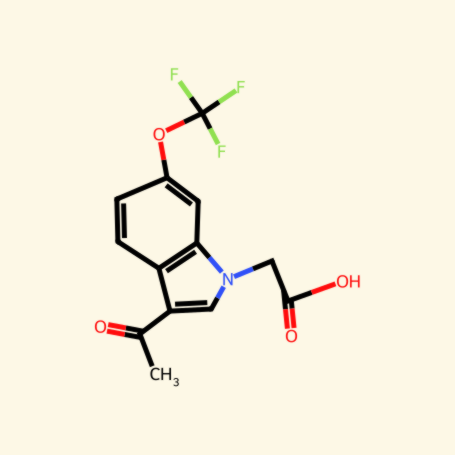 CC(=O)c1cn(CC(=O)O)c2cc(OC(F)(F)F)ccc12